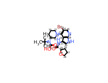 CC(C)(C)N(C(=O)O)[C@@H]1CCCN(c2c(Br)cnc3[nH]cc(NC(=O)[C@@H]4CCCO4)c23)C1